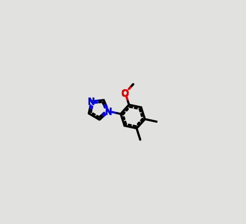 COc1cc(C)c(C)cc1-n1ccnc1